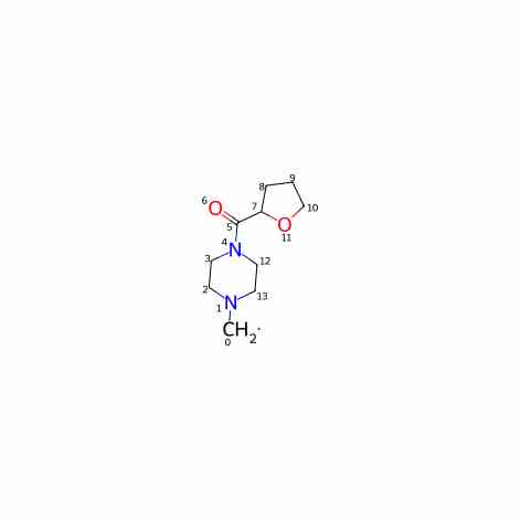 [CH2]N1CCN(C(=O)C2CCCO2)CC1